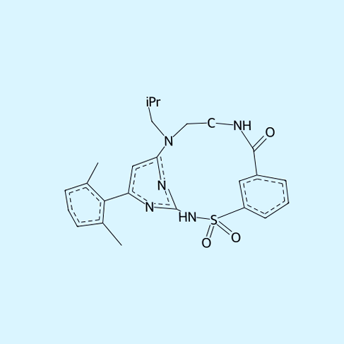 Cc1cccc(C)c1-c1cc2nc(n1)NS(=O)(=O)c1cccc(c1)C(=O)NCCN2CC(C)C